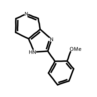 COc1ccccc1-c1nc2cnccc2[nH]1